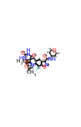 C[C@@H]1CN2c3c(cc4c(C(=O)NC5CCOCC5)noc4c3F)CC3(C(=O)NC(=O)NC3=O)[C@H]2[C@H](C)O1